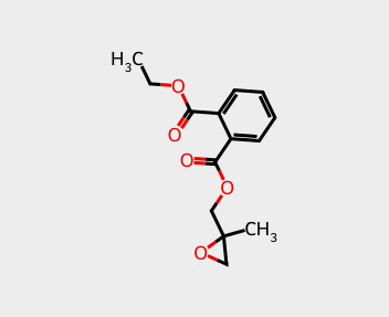 CCOC(=O)c1ccccc1C(=O)OCC1(C)CO1